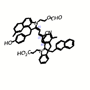 Cc1ccc2ccc3c(c2c1)C(Cc1ccc(O)cc1)\C(=C/C=C(C#N)/C=C/C1=[N+](CCC(=O)O)c2ccccc2C1(Cc1ccc2ccccc2c1)Cc1ccccc1C)N3CCOC=O